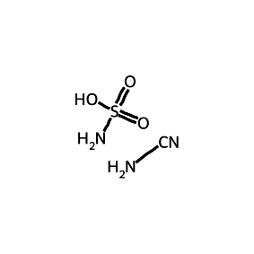 N#CN.NS(=O)(=O)O